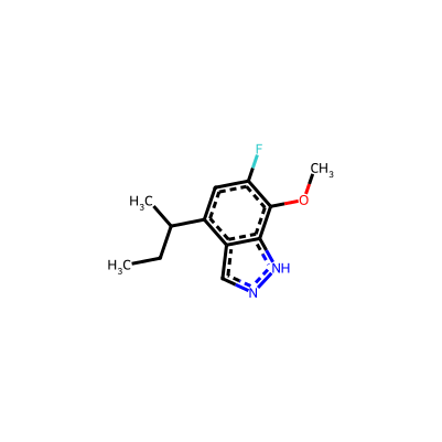 CCC(C)c1cc(F)c(OC)c2[nH]ncc12